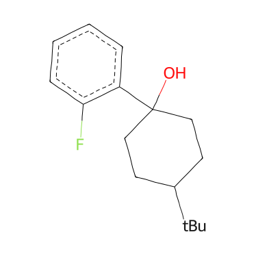 CC(C)(C)C1CCC(O)(c2ccccc2F)CC1